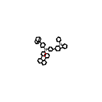 c1ccc(-c2cccc3cccc(-c4ccc(N(c5ccc(-c6ccc7c8ccccc8n(-c8ccccc8)c7c6)cc5)c5ccc(C67CC8CC(CC(C8)C6)C7)cc5)cc4)c23)cc1